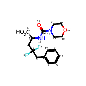 O=C(O)C(CC(F)(F)Cc1ccccc1)NC(=O)N1CCOCC1